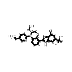 C=Cc1ccc(N2c3cccc(-c4nc5c(Cl)cc(C(F)(F)F)cc5[nH]4)c3OC[C@@H]2CO)nc1